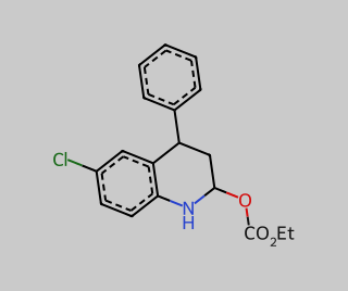 CCOC(=O)OC1CC(c2ccccc2)c2cc(Cl)ccc2N1